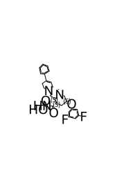 CN1C[C@@H](Oc2cc(F)cc(F)c2)C[C@H](C(=O)NO)[C@H]1C(=O)N1CC=C(c2ccccc2)CC1